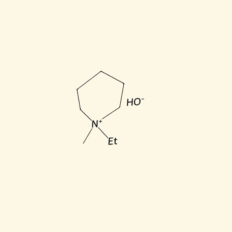 CC[N+]1(C)CCCCC1.[OH-]